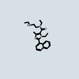 CCNCCN(CC)C(=O)c1c(C)nc(-c2cccc3ccccc23)n1CC